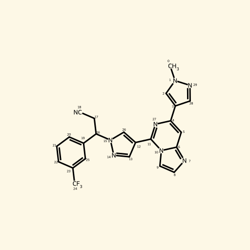 Cn1cc(-c2cc3nccn3c(-c3cnn(C(CC#N)c4cccc(C(F)(F)F)c4)c3)n2)cn1